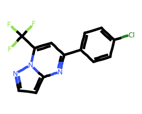 FC(F)(F)c1cc(-c2ccc(Cl)cc2)nc2ccnn12